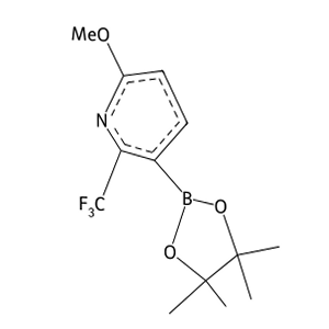 COc1ccc(B2OC(C)(C)C(C)(C)O2)c(C(F)(F)F)n1